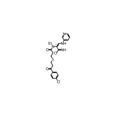 CCN(C(=O)CCSCCC(=O)c1ccc(Cl)cc1)/C(=C/Nc1cccnc1)C(=N)Cl